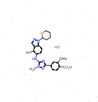 CCc1c(Nc2nc(-c3ccc(C(=O)O)c(OC)c3)nn2C)ccc2c1cnn2C1CCCCO1.Cl